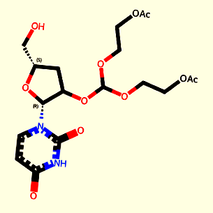 CC(=O)OCCOC(OCCOC(C)=O)OC1C[C@@H](CO)O[C@H]1n1ccc(=O)[nH]c1=O